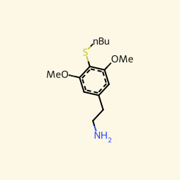 CCCCSc1c(OC)cc(CCN)cc1OC